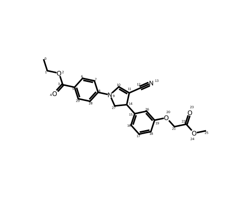 CCOC(=O)c1ccc(N2C=C(C#N)C(c3cccc(OCC(=O)OC)c3)C2)cc1